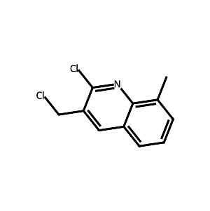 Cc1cccc2cc(CCl)c(Cl)nc12